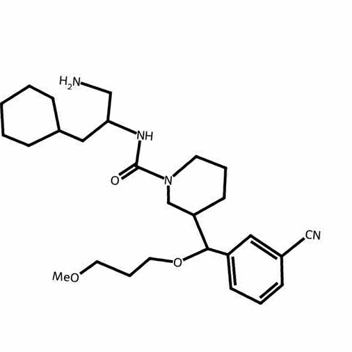 COCCCOC(c1cccc(C#N)c1)C1CCCN(C(=O)NC(CN)CC2CCCCC2)C1